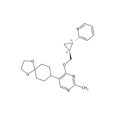 Cc1ncc(C2CCC3(CC2)OCCO3)c(OC[C@H]2C[C@@H]2c2ccccn2)n1